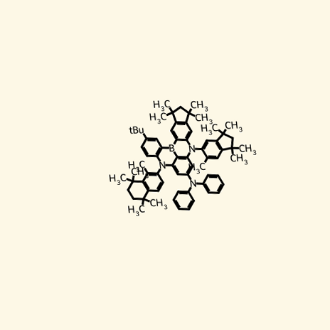 Cc1cc2c(cc1N1c3cc4c(cc3B3c5cc(C(C)(C)C)ccc5N(c5ccc6c(c5C)C(C)(C)CCC6(C)C)c5cc(N(c6ccccc6)c6ccccc6)cc1c53)C(C)(C)CC4(C)C)C(C)(C)CC2(C)C